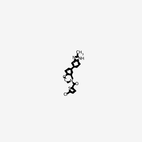 Cc1nc2cc(-c3ccc4c(c3)CN(C(=O)c3ccc(Cl)s3)CCO4)ccc2[nH]1